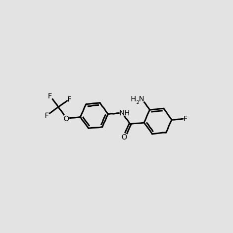 NC1=CC(F)CC=C1C(=O)Nc1ccc(OC(F)(F)F)cc1